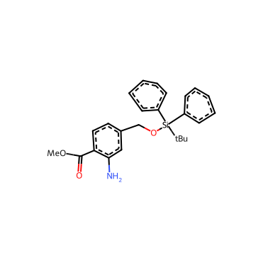 COC(=O)c1ccc(CO[Si](c2ccccc2)(c2ccccc2)C(C)(C)C)cc1N